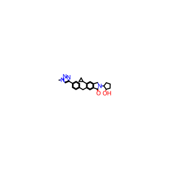 Cn1cc(-c2ccc(Cc3cc4c(cc3C3CC3)CN(C3CCCC3O)C4=O)cc2)nn1